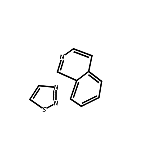 c1ccc2cnccc2c1.c1csnn1